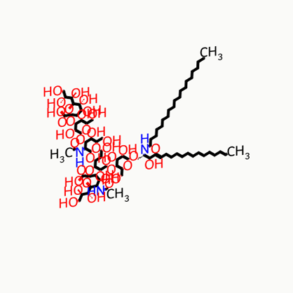 CCCCCCCCCCCCC/C=C/[C@@H](O)[C@H](CO[C@@H]1OC(CO)[C@@H](O[C@@H]2OC(CO)[C@H](O[C@@H]3OC(CO)[C@H](O)[C@H](O[C@@H]4OC(CO)[C@H](O)[C@H](O[C@]5(C(=O)O)CC(O)[C@@H](O)C([C@H](O)[C@H](O)CO)O5)C4O)C3NC(C)=O)[C@H](O[C@]3(C(=O)O)CC(O)[C@@H](NC(C)=O)C([C@H](O)[C@H](O)CO)O3)C2O)[C@H](O)C1O)NC(=O)CCCCCCCCCCCCCCCCCCC